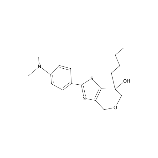 CCCCC1(O)COCc2nc(-c3ccc(N(C)C)cc3)sc21